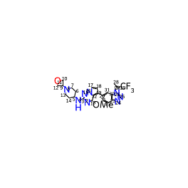 COc1nc(NC2CCN(C3COC3)CC2)nn2ccc(-c3ccc4nnn([C@@H](C)C(F)(F)F)c4c3)c12